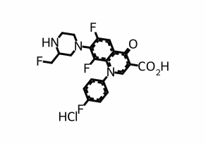 Cl.O=C(O)c1cn(-c2ccc(F)cc2)c2c(F)c(N3CCNC(CF)C3)c(F)cc2c1=O